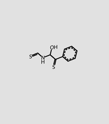 OC(NC=S)C(=S)c1ccccc1